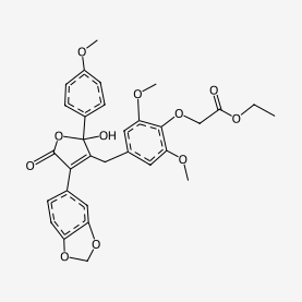 CCOC(=O)COc1c(OC)cc(CC2=C(c3ccc4c(c3)OCO4)C(=O)OC2(O)c2ccc(OC)cc2)cc1OC